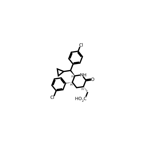 O=C(O)C[C@@H]1C[C@H](c2cccc(Cl)c2)[C@@H](C(c2ccc(Cl)cc2)C2CC2)NC1=O